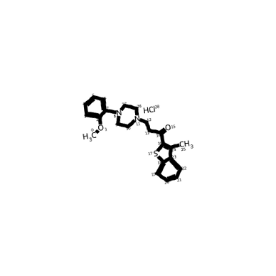 COc1ccccc1N1CCN(CCC(=O)c2sc3ccccc3c2C)CC1.Cl